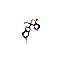 CC(C)c1ccncc1C(O)(c1nc2ccc(Br)cc2s1)C(C)C